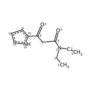 CCN(CC)C(=O)CC(=O)c1ccc[nH]1